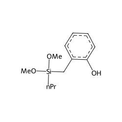 CCC[Si](Cc1ccccc1O)(OC)OC